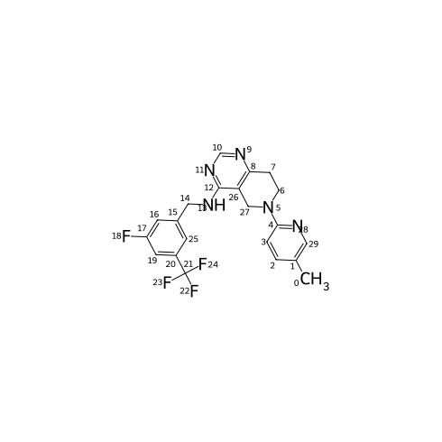 Cc1ccc(N2CCc3ncnc(NCc4cc(F)cc(C(F)(F)F)c4)c3C2)nc1